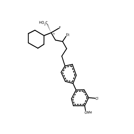 CCC(CCc1ccc(-c2ccc(OC)c(Cl)c2)cc1)C[C@@](F)(C(=O)O)C1CCCCC1